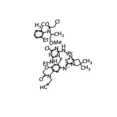 C#CCN1C(=O)COc2cc(F)c(/N=c3\snc4n3CC(C)(C)C4)cc21.CCNc1nc(Cl)nc(NC(C)C)n1.CCc1cccc(C)c1N(C(=O)CCl)C(C)COC